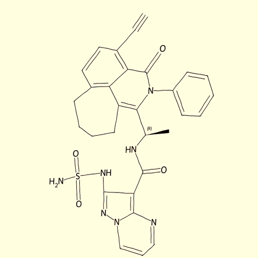 C#Cc1ccc2c3c(c([C@@H](C)NC(=O)c4c(NS(N)(=O)=O)nn5cccnc45)n(-c4ccccc4)c(=O)c13)CCCC2